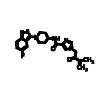 CN(C)C(=O)Cn1cnc(C(=O)NC2CCN(c3snc4ccc(F)cc34)CC2)c1